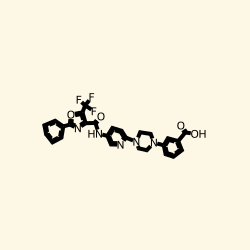 O=C(O)c1cccc(N2CCN(c3ccc(NC(=O)c4nc(-c5ccccc5)oc4C(F)(F)F)cn3)CC2)c1